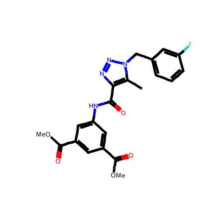 COC(=O)c1cc(NC(=O)c2nnn(Cc3cccc(F)c3)c2C)cc(C(=O)OC)c1